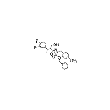 CC(c1ccc(F)c(F)c1)C(CS)C(=O)N[C@@H](Cc1ccc(O)cc1)C(=O)OCc1ccccc1